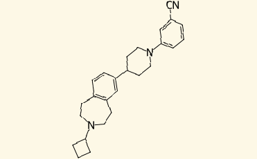 N#Cc1cccc(N2CCC(c3ccc4c(c3)CCN(C3CCC3)CC4)CC2)c1